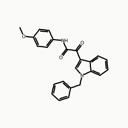 COc1ccc(NC(=O)C(=O)c2cn(Cc3ccccc3)c3ccccc23)cc1